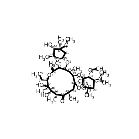 CC[C@H]1OC(=O)[C@H](C)[C@@H](O[C@H]2C[C@@](C)(OC)[C@@H](O)[C@H](C)O2)[C@H](C)[C@@H](O[C@@H]2O[C@H](C)C[C@H](N(C)C)[C@H]2OC)[C@@](C)(OC)C[C@@H](C)C(=O)[C@H](C)[C@@H](O)[C@]1(C)O